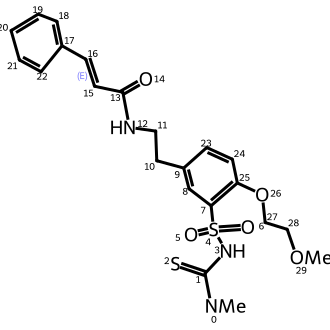 CNC(=S)NS(=O)(=O)c1cc(CCNC(=O)/C=C/c2ccccc2)ccc1OCCOC